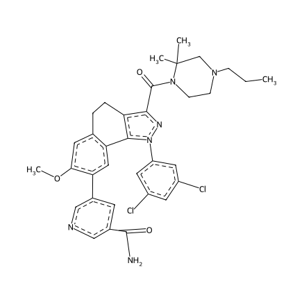 CCCN1CCN(C(=O)c2nn(-c3cc(Cl)cc(Cl)c3)c3c2CCc2cc(OC)c(-c4cncc(C(N)=O)c4)cc2-3)C(C)(C)C1